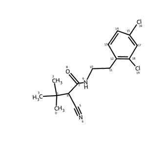 CC(C)(C)C(C#N)C(=O)NCCc1ccc(Cl)cc1Cl